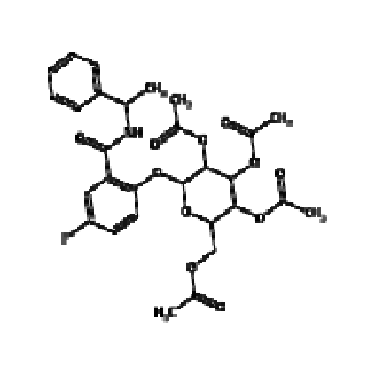 CC(=O)OCC1OC(Oc2ccc(F)cc2C(=O)NC(C)c2ccccc2)C(OC(C)=O)C(OC(C)=O)C1OC(C)=O